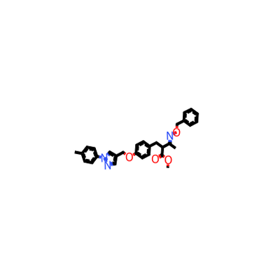 COC(=O)C(Cc1ccc(OCc2cnn(-c3ccc(C)cc3)c2)cc1)C(C)=NOCc1ccccc1